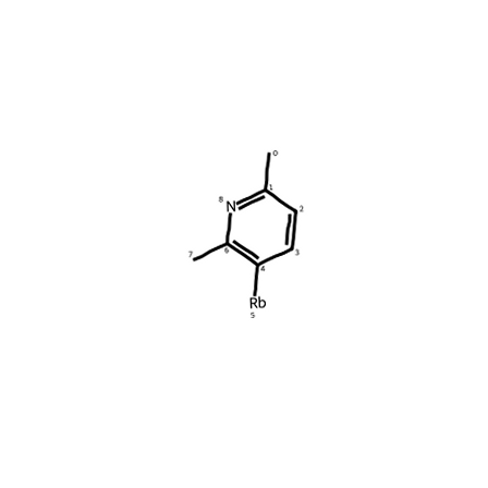 Cc1cc[c]([Rb])c(C)n1